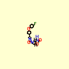 O=C1CO[C@H]2CCN(C(=O)N3CC(c4ccc(Oc5ccc(F)cc5)cc4)C3)C[C@H]2N1